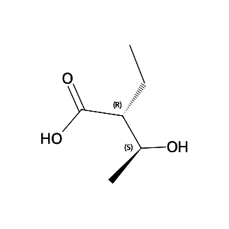 CC[C@@H](C(=O)O)[C@H](C)O